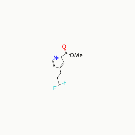 COC(=O)c1cc(CCC(F)F)ccn1